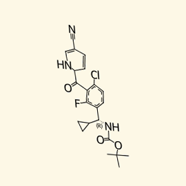 CC(C)(C)OC(=O)N[C@@H](c1ccc(Cl)c(C(=O)C2C=CC(C#N)=CN2)c1F)C1CC1